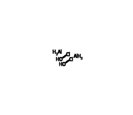 OCl.OCl.[AlH3].[AlH3]